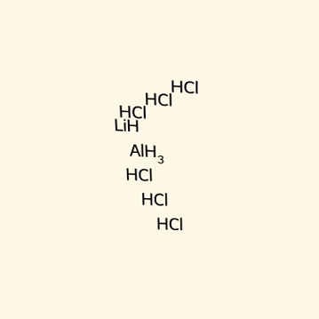 Cl.Cl.Cl.Cl.Cl.Cl.[AlH3].[LiH]